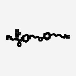 CC(=O)CCCCc1ccc(OCCCN2CCN(C(=O)[C@@H](N)CC(C)C)CC2)cc1